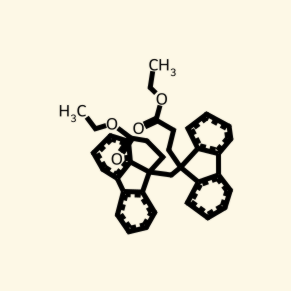 CCOC(=O)CCC1(CC2(CCC(=O)OCC)c3ccccc3-c3ccccc32)c2ccccc2-c2ccccc21